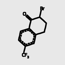 O=C1c2ccc(C(F)(F)F)cc2CCC1Br